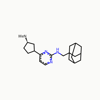 CN[C@@H]1CCC(c2ccnc(NCC34CC5CC(CC(C5)C3)C4)n2)C1